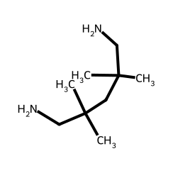 CC(C)(CN)CC(C)(C)CN